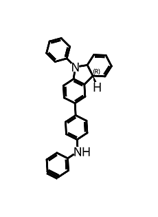 c1ccc(Nc2ccc(-c3ccc4c(c3)[C@H]3C=CC=CC3N4c3ccccc3)cc2)cc#1